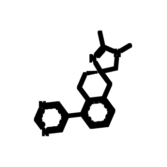 CC1=N[C@@]2(CCc3c(cccc3-c3cncnc3)C2)CN1C